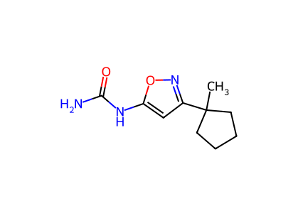 CC1(c2cc(NC(N)=O)on2)CCCC1